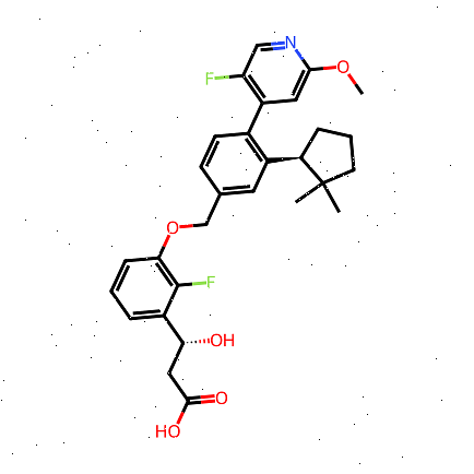 COc1cc(-c2ccc(COc3cccc([C@H](O)CC(=O)O)c3F)cc2[C@H]2CCCC2(C)C)c(F)cn1